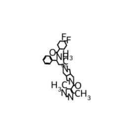 Cc1ncnc(C)c1C(=O)N1CC2CN([C@@H](C)CC(NC(=O)C3CCC(F)(F)CC3)c3ccccc3)CC2C1